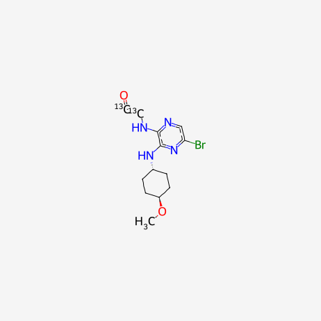 CO[C@H]1CC[C@H](Nc2nc(Br)cnc2N[13CH2][13CH]=O)CC1